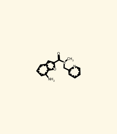 CN(Cc1ccccn1)C(=O)c1cc2cccc(N)c2o1